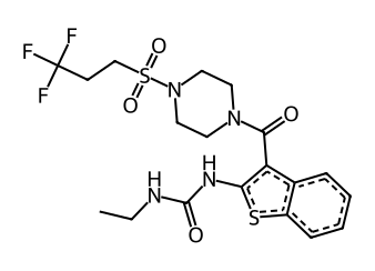 CCNC(=O)Nc1sc2ccccc2c1C(=O)N1CCN(S(=O)(=O)CCC(F)(F)F)CC1